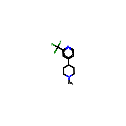 CN1CCC(c2ccnc(C(F)(F)F)c2)CC1